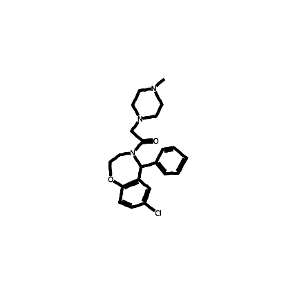 CN1CCN(CC(=O)N2CCOc3ccc(Cl)cc3C2c2ccccc2)CC1